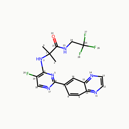 CC(C)(Nc1nc(-c2ccc3nccnc3c2)ncc1F)C(=O)NCC(F)(F)F